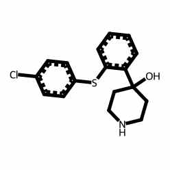 OC1(c2ccccc2Sc2ccc(Cl)cc2)CCNCC1